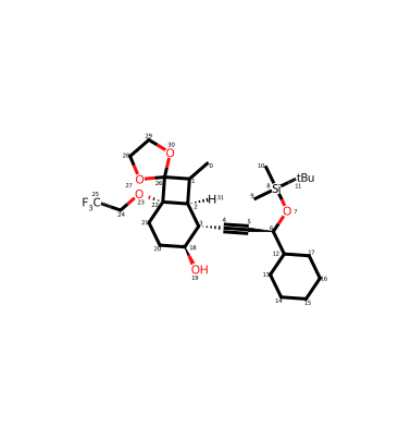 CC1[C@H]2[C@H](C#C[C@@H](O[Si](C)(C)C(C)(C)C)C3CCCCC3)[C@@H](O)CC[C@@]2(OCC(F)(F)F)C12OCCO2